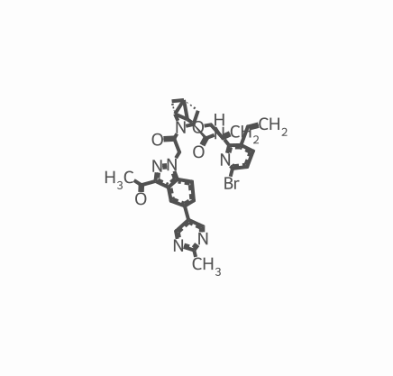 C=CCOC1[C@@]23C[C@@H](C(=O)Nc4nc(Br)ccc4C=C)N(C(=O)Cn4nc(C(C)=O)c5cc(-c6cnc(C)nc6)ccc54)[C@]12C3